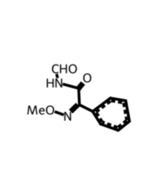 CON=C(C(=O)NC=O)c1ccccc1